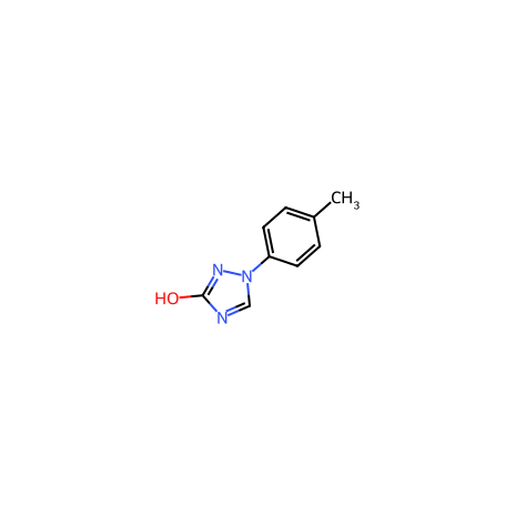 Cc1ccc(-n2cnc(O)n2)cc1